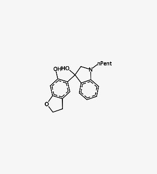 CCCCCN1CC(O)(c2cc3c(cc2O)OCC3)c2ccccc21